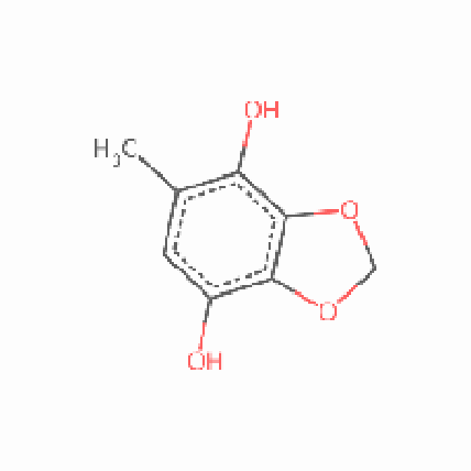 Cc1cc(O)c2c(c1O)OCO2